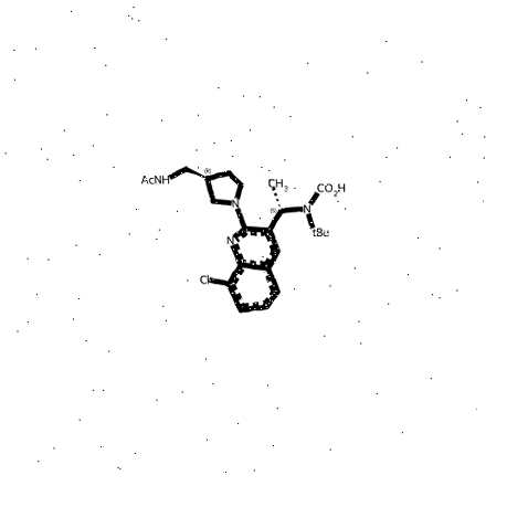 CC(=O)NC[C@H]1CCN(c2nc3c(Cl)cccc3cc2[C@H](C)N(C(=O)O)C(C)(C)C)C1